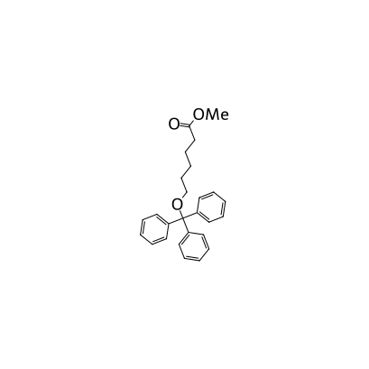 COC(=O)CCCCCOC(c1ccccc1)(c1ccccc1)c1ccccc1